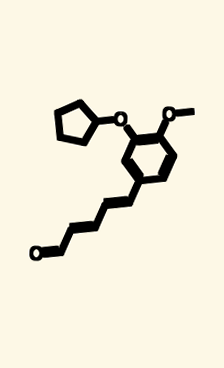 COc1ccc(C=CC=CC=O)cc1OC1CCCC1